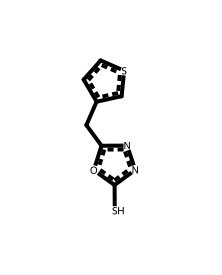 Sc1nnc(Cc2ccsc2)o1